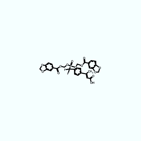 CC(=CC(=O)O)c1ccc(C(F)(F)P(=O)(OCOC(=O)c2ccc3c(c2)OCO3)OCOC(=O)c2ccc3c(c2)OCO3)cc1